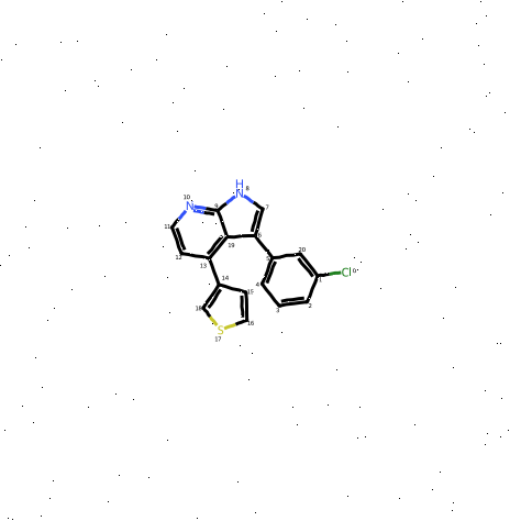 Clc1cccc(-c2c[nH]c3nccc(-c4ccsc4)c23)c1